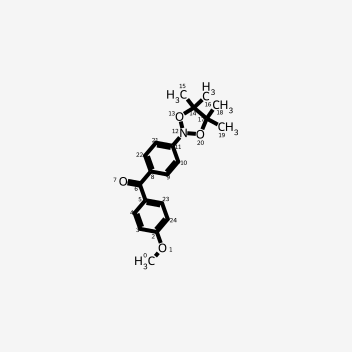 COc1ccc(C(=O)c2ccc(N3OC(C)(C)C(C)(C)O3)cc2)cc1